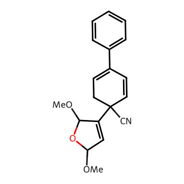 COC1C=C(C2(C#N)C=CC(c3ccccc3)=CC2)C(OC)O1